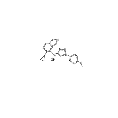 COc1ccc(-n2cc([C@H](O)c3c(C4CC4)ccc4cncn34)nn2)cc1